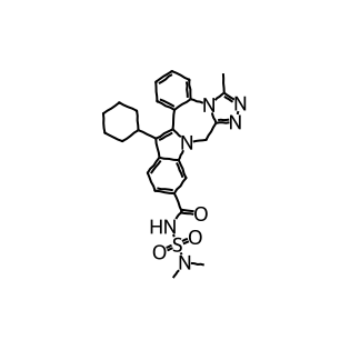 Cc1nnc2n1-c1ccccc1-c1c(C3CCCCC3)c3ccc(C(=O)NS(=O)(=O)N(C)C)cc3n1C2